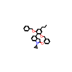 CCCc1cc(OCc2ccccc2)c(-c2cccc3c2CC(=O)N3C2CC2)c(OCc2ccccc2)c1